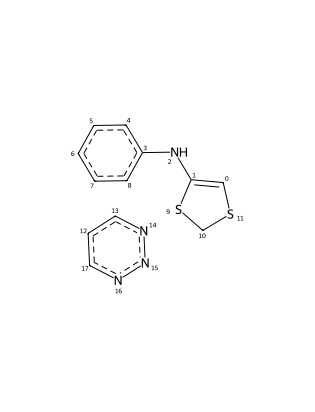 C1=C(Nc2ccccc2)SCS1.c1cnnnc1